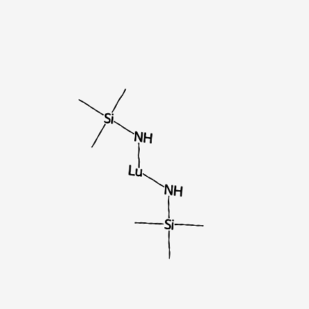 C[Si](C)(C)[NH][Lu][NH][Si](C)(C)C